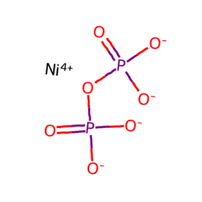 O=P([O-])([O-])OP(=O)([O-])[O-].[Ni+4]